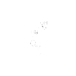 CCCOc1cccc(CCNCCC(=O)O)c1